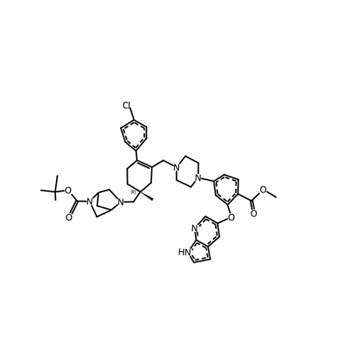 COC(=O)c1ccc(N2CCN(CC3=C(c4ccc(Cl)cc4)CC[C@@](C)(CN4CC5CC4CN5C(=O)OC(C)(C)C)C3)CC2)cc1Oc1cnc2[nH]ccc2c1